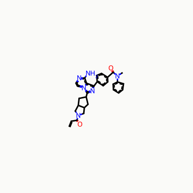 C=CC(=O)N1CC2CC(c3nc(-c4ccc(C(=O)N(C)c5ccccc5)cc4)c4c(N)nccn34)CC2C1